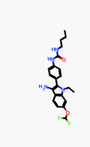 CCCCNC(=O)Nc1ccc(-c2c(N)c3ccc(OC(F)F)cc3n2CC)cc1